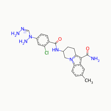 Cc1ccc2c(c1)c(C(N)=O)c1n2CC(NC(=O)c2ccc(N(N)/C=N\N)cc2Cl)CC1